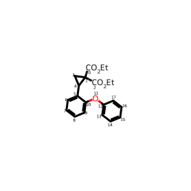 CCOC(=O)C1(C(=O)OCC)CC1c1ccccc1Oc1ccccc1